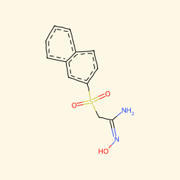 N/C(CS(=O)(=O)c1ccc2ccccc2c1)=N/O